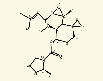 CO[C@H]1C([C@@]2(C)O[C@@H]2CC=C(C)C)[C@]2(CC[C@H]1OC(=O)N1CCC[C@@H]1C)CO2